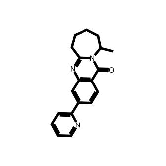 CC1CCCCc2nc3cc(-c4ccccn4)ccc3c(=O)n21